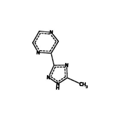 Cc1nc(-c2cnccn2)n[nH]1